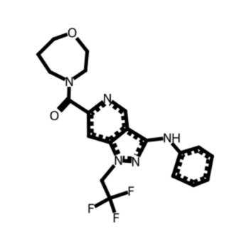 O=C(c1cc2c(cn1)c(Nc1ccccc1)nn2CC(F)(F)F)N1CCCOCC1